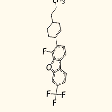 CCCC1CC=C(c2ccc3c(oc4cc(C(F)(F)F)ccc43)c2F)CC1